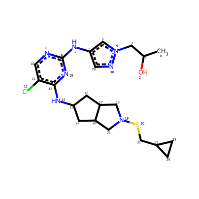 CC(O)Cn1cc(Nc2ncc(Cl)c(NC3CC4CN(SCC5CC5)CC4C3)n2)cn1